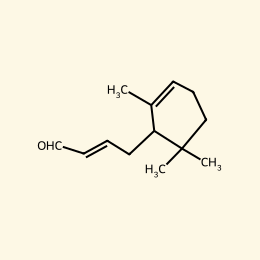 CC1=CCCC(C)(C)C1C/C=C/C=O